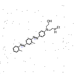 CCPCCN(CCO)c1ccc(/N=N/c2ccc(/N=N/c3ccccc3C)cc2C)cc1